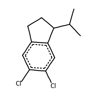 CC(C)C1CCc2cc(Cl)c(Cl)cc21